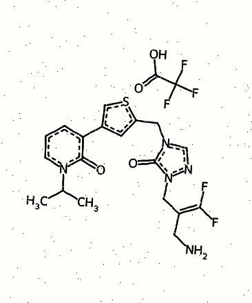 CC(C)n1cccc(-c2csc(Cn3cnn(CC(CN)=C(F)F)c3=O)c2)c1=O.O=C(O)C(F)(F)F